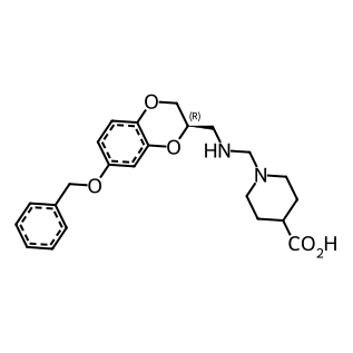 O=C(O)C1CCN(CNC[C@@H]2COc3ccc(OCc4ccccc4)cc3O2)CC1